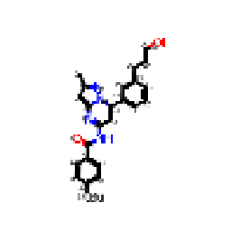 Cc1cc2nc(NC(=O)c3ccc(C(C)(C)C)cc3)cc(-c3cccc(CCCO)c3)n2n1